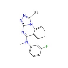 CCc1nnc2nc(N(C)c3cccc(F)c3)c3ccccc3n12